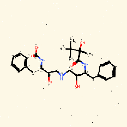 CC(C)(C)C(C)(O)C(=O)NC(Cc1ccccc1)C(O)CNCC(O)[C@H](Cc1ccccc1)NC(=O)O